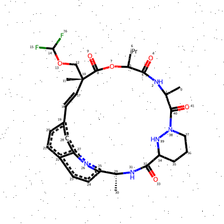 CC1NC(=O)C(C(C)C)OC(=O)[C@@](C)(COC(F)F)/C=C/c2ccc3ccc(nc3c2)[C@@H](C)NC(=O)C2CCCN(N2)C1=O